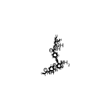 C=CC(=O)Nc1ccc(Oc2ccnc(N)c2C#Cc2ccc(C(=O)NCC(O)CN(CC)CC)cc2)c(F)c1